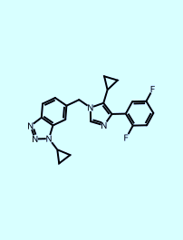 Fc1ccc(F)c(-c2ncn(Cc3ccc4nnn(C5CC5)c4c3)c2C2CC2)c1